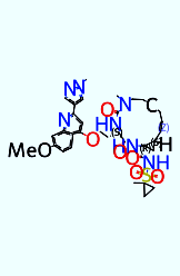 COc1ccc2c(OCC[C@@H]3NC(=O)N(C)CCCC/C=C\[C@@H]4C[C@@]4(C(=O)NS(=O)(=O)C4(C)CC4)NC3=O)cc(-c3cnn(C)c3)nc2c1